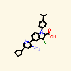 CC(C)c1ccc(N2c3ccc(-c4ncc(C5CCCC5)cc4N)cc3C(Cl)C2C(=O)O)cc1